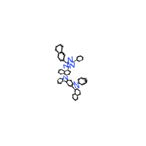 c1ccc(-c2nc(-c3ccc4ccccc4c3)nc(-c3ccc(-n4c5ccccc5c5cc6c7c8ccccc8ccc7n(-c7ccccc7)c6cc54)c4ccccc34)n2)cc1